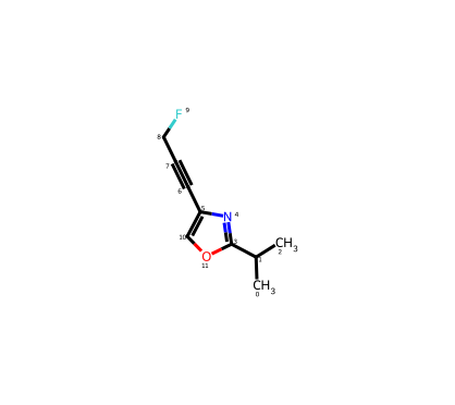 CC(C)c1nc(C#CCF)co1